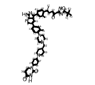 Cc1cc(-c2n[nH]c3ncc(-c4ccc(N5CCN(CC6CCN(c7ccc(N8CCC(=O)NC8=O)cc7)CC6)CC5)c(C)c4)cc23)ccc1[C@@H](C)CCC(=O)c1noc(C(C)(C)C)n1